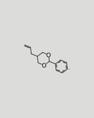 C=CCC1COC(c2cc[c]cc2)OC1